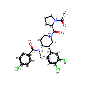 CC(=O)N1CCC[C@@H]1C(=O)N1CC[C@@H](N(C)C(=O)c2ccc(Cl)cc2)[C@H](c2ccc(Cl)c(Cl)c2)C1